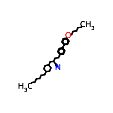 CCCCCCCC1CCC(CC(C#N)CCc2ccc(-c3ccc(OCCCCCC)cc3)cc2)CC1